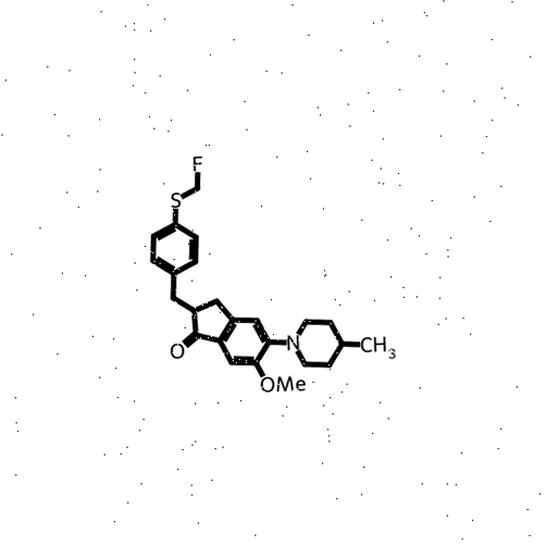 COc1cc2c(cc1N1CCC(C)CC1)CC(Cc1ccc(SCF)cc1)C2=O